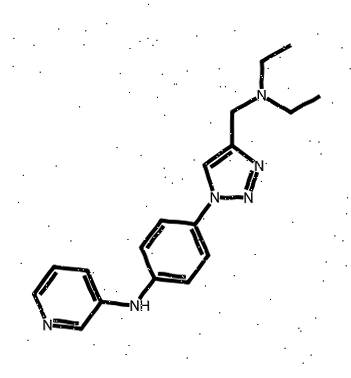 CCN(CC)Cc1cn(-c2ccc(Nc3cccnc3)cc2)nn1